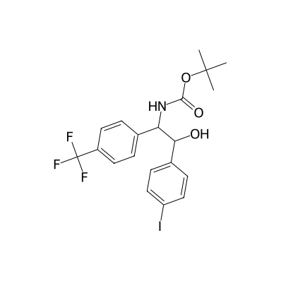 CC(C)(C)OC(=O)NC(c1ccc(C(F)(F)F)cc1)C(O)c1ccc(I)cc1